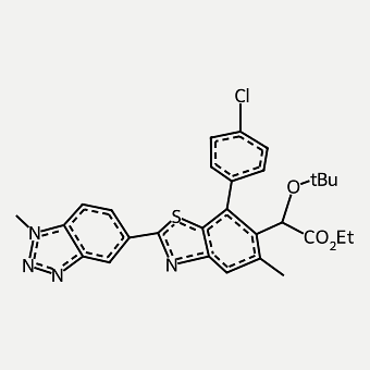 CCOC(=O)C(OC(C)(C)C)c1c(C)cc2nc(-c3ccc4c(c3)nnn4C)sc2c1-c1ccc(Cl)cc1